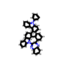 c1ccc(-n2c3ccccc3c3c(-c4ccc5c6ccccc6n6c5c4-c4ccccc4-c4nc5ccccc5nc4-6)cccc32)cc1